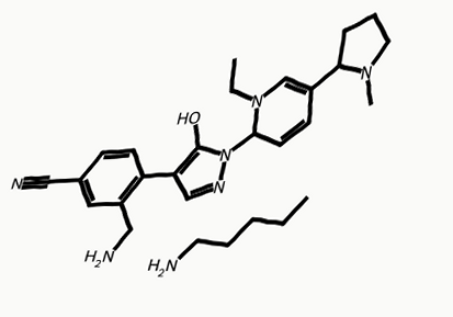 CCCCCN.CCN1C=C(C2CCCN2C)C=CC1n1ncc(-c2ccc(C#N)cc2CN)c1O